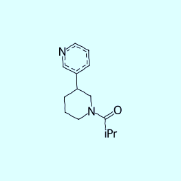 CC(C)C(=O)N1CCCC(c2cccnc2)C1